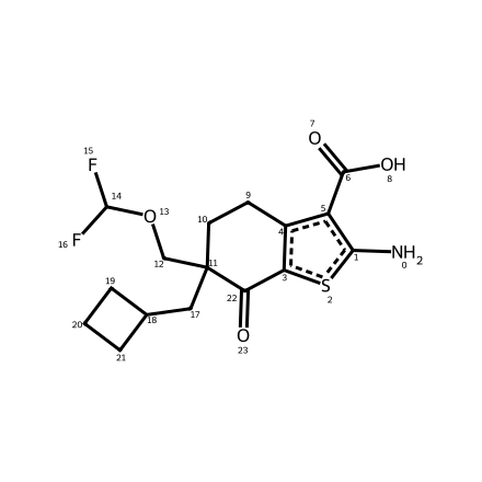 Nc1sc2c(c1C(=O)O)CCC(COC(F)F)(CC1CCC1)C2=O